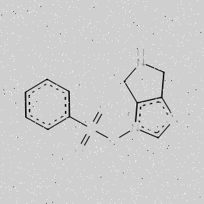 O=S(=O)(On1cnc2c1CNC2)c1ccccc1